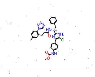 COC(=O)Nc1ccc(-c2nc([C@H](Cc3ccccc3)NC(=O)CCc3cc(C)ccc3-n3cnnn3)[nH]c2Cl)cc1